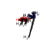 CCCCCCCCCCCCCCCCCCCCCCCCCCCCC(=Nc1ccc(N(CC)CC)cc1)C(CCCCCC)=Nc1ccc(N(CC)CC)cc1.CCCCc1cc(O)c(O)c(C(=O)[O-])c1C.CCCCc1cc(O)c(O)c(C(=O)[O-])c1C.[Ni+2]